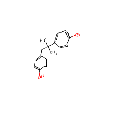 CC(C)(CC1=CC=C(O)CC1)c1ccc(O)cc1